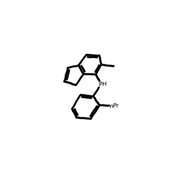 CCCc1ccccc1Pc1c(C)ccc2c1CC=C2